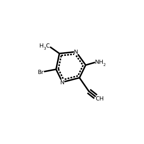 C#Cc1nc(Br)c(C)nc1N